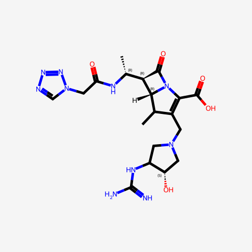 CC1C(CN2CC(NC(=N)N)[C@@H](O)C2)=C(C(=O)O)N2C(=O)[C@H]([C@@H](C)NC(=O)Cn3cnnn3)[C@@H]12